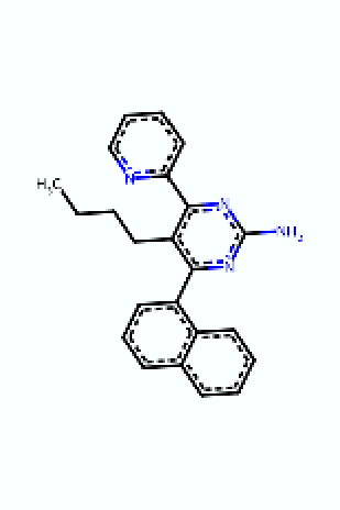 CCCCc1c(-c2ccccn2)nc(N)nc1-c1cccc2ccccc12